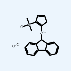 C[Si](C)(Cl)C1=[C]([Zr+2][CH]2c3ccccc3-c3ccccc32)CC=C1.[Cl-].[Cl-]